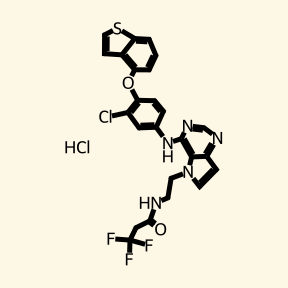 Cl.O=C(CC(F)(F)F)NCCn1ccc2ncnc(Nc3ccc(Oc4cccc5sccc45)c(Cl)c3)c21